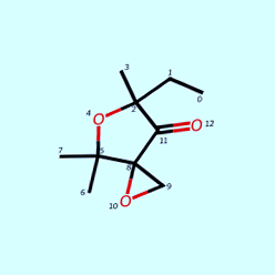 CCC1(C)OC(C)(C)C2(CO2)C1=O